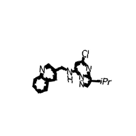 CC(C)c1cnn2c(NCc3cnc4ccccc4c3)cc(Cl)nc12